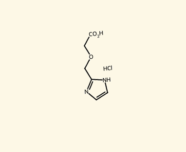 Cl.O=C(O)COCc1ncc[nH]1